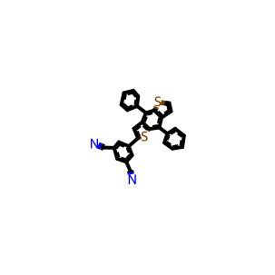 N#Cc1cc(C#N)cc(-c2cc3c(-c4ccccc4)c4sccc4c(-c4ccccc4)c3s2)c1